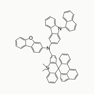 C[Si]1(C)c2ccccc2C2(c3ccccc3-c3cccc4cccc2c34)c2ccc(N(c3ccc4c(c3)oc3ccccc34)c3ccc4c(c3)c3ccccc3n4-c3cccc4ccccc34)cc21